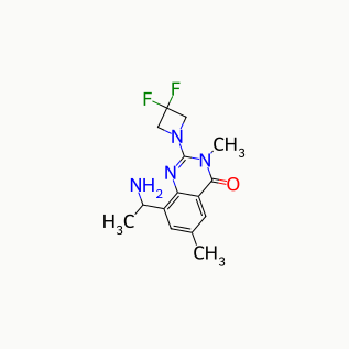 Cc1cc(C(C)N)c2nc(N3CC(F)(F)C3)n(C)c(=O)c2c1